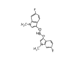 Cn1cc(OBOc2cn(C)c3cc(F)ccc23)c2ccc(F)cc21